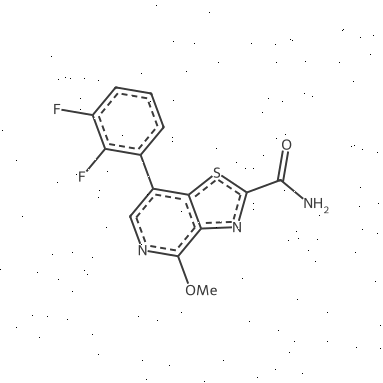 COc1ncc(-c2cccc(F)c2F)c2sc(C(N)=O)nc12